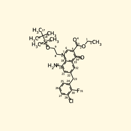 CCOC(=O)c1cn(CCO[Si](C)(C)C(C)(C)C)c2c(N)cc(Cc3cccc(Cl)c3F)cc2c1=O